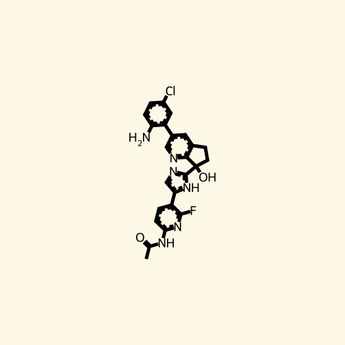 CC(=O)Nc1ccc(-c2cnc(C3(O)CCc4cc(-c5cc(Cl)ccc5N)cnc43)[nH]2)c(F)n1